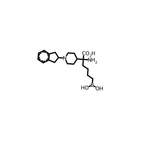 NC(CCCCB(O)O)(C(=O)O)C1CCN(C2Cc3ccccc3C2)CC1